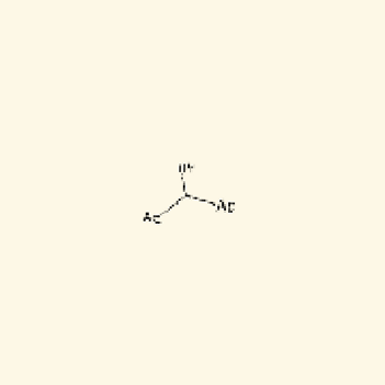 CC(=O)C(C(C)=O)C(C)C